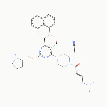 CN(C)C/C=C/C(=O)N1CCN(c2nc(OC[C@@H]3CCCN3C)nc3c2COC(c2cccc4cccc(Cl)c24)C3)C[C@@H]1CC#N